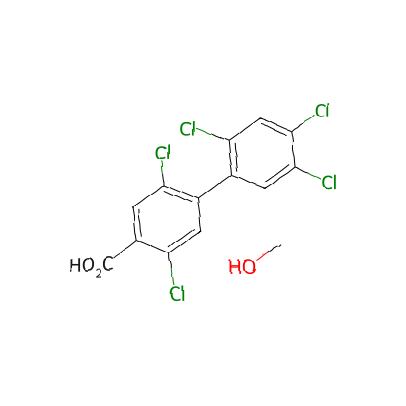 CO.O=C(O)c1cc(Cl)c(-c2cc(Cl)c(Cl)cc2Cl)cc1Cl